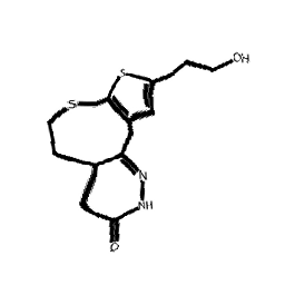 O=C1CC2CCSc3sc(CCO)cc3C2=NN1